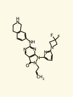 C=CCn1c(=O)c2cnc(Nc3ccc4c(c3)CNCC4)nc2n1-c1cccc(N2CC(F)(F)C2)n1